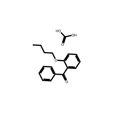 CCCCOc1ccccc1C(=O)c1ccccc1.O=C(O)O